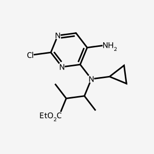 CCOC(=O)C(C)C(C)N(c1nc(Cl)ncc1N)C1CC1